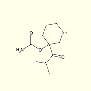 CN(C)C(=O)C1(OC(N)=O)CCCNC1